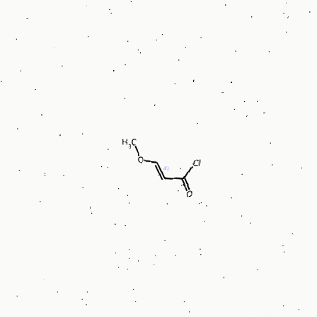 CO/C=C/C(=O)Cl